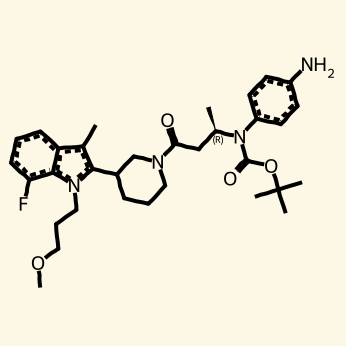 COCCCn1c(C2CCCN(C(=O)C[C@@H](C)N(C(=O)OC(C)(C)C)c3ccc(N)cc3)C2)c(C)c2cccc(F)c21